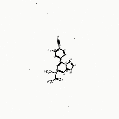 CC(=O)N(C)c1cc(-c2ccc(C#N)c(F)c2)n2ncnc2c1